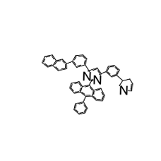 C1=CN=CC(c2cccc(-c3cc(-c4cccc(-c5ccc6ccccc6c5)c4)nc(-c4c5ccccc5c(-c5ccccc5)c5ccccc45)n3)c2)C1